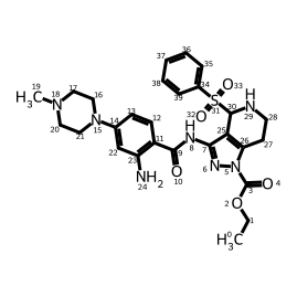 CCOC(=O)n1nc(NC(=O)c2ccc(N3CCN(C)CC3)cc2N)c2c1CCNC2S(=O)(=O)c1ccccc1